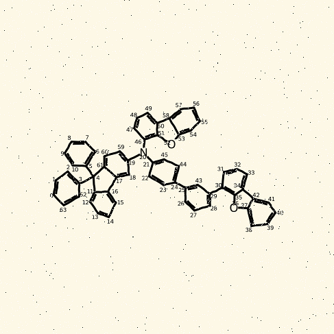 c1ccc(C2(c3ccccc3)c3ccccc3-c3cc(N(c4ccc(-c5cccc(-c6cccc7c6oc6ccccc67)c5)cc4)c4cccc5c4oc4ccccc45)ccc32)cc1